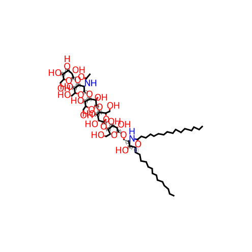 CCCCCCCCCCCCC/C=C/[C@@H](O)[C@H](CO[C@@H]1OC(CO)[C@@H](O[C@@H]2OC(CO)[C@H](O[C@@H]3OC(CO)[C@H](O)[C@H](O[C@@H]4OC(CO)[C@H](O)[C@H](O[C@@H]5OC(CO)[C@H](O)[C@H](O)C5O)C4NC(C)=O)C3O)[C@H](O)C2O)[C@H](O)C1O)NC(=O)CCCCCCCCCCCCCCC